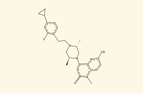 C[C@@H]1CN(c2cc(=O)n(C)c3ccc(C#N)nc23)[C@@H](C)CN1CCc1ccc(C2CC2)cc1F